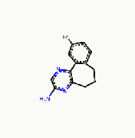 Nc1cnc2c(n1)CCCc1ccc(Br)cc1-2